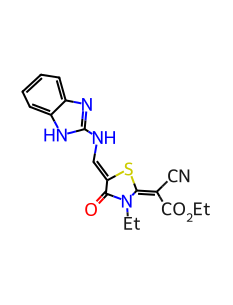 CCOC(=O)C(C#N)=c1sc(=CNc2nc3ccccc3[nH]2)c(=O)n1CC